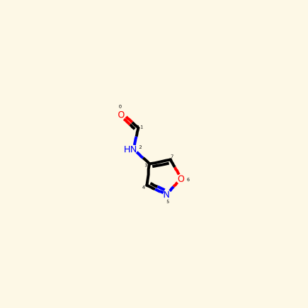 O=[C]Nc1cnoc1